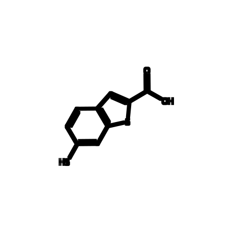 O=C(O)c1cc2ccc(S)cc2s1